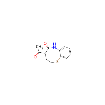 CC(=O)C1CCSc2ccccc2NC1=O